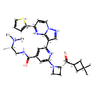 CCN(CC)[C@@H](C)CNC(=O)c1cc(-c2cnn3ccc(-c4cccs4)nc23)nc(N2CC[C@H]2C(=O)C2CC(C)(C)C2)c1